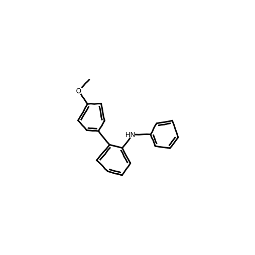 COc1ccc(-c2ccccc2Nc2ccccc2)cc1